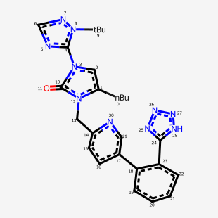 CCCCc1cn(-c2ncnn2C(C)(C)C)c(=O)n1Cc1ccc(-c2ccccc2-c2nnn[nH]2)cn1